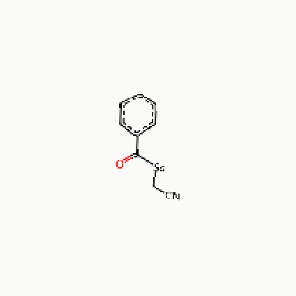 N#CC[Se]C(=O)c1ccccc1